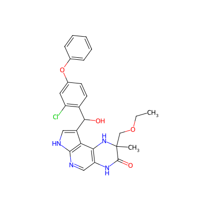 CCOCC1(C)Nc2c(cnc3[nH]cc(C(O)c4ccc(Oc5ccccc5)cc4Cl)c23)NC1=O